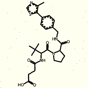 Cc1ncsc1-c1ccc(CNC(=O)C2CCCN2C(=O)C(NC(=O)CCC(=O)O)C(C)(C)C)cc1